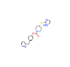 O=C(Oc1ccc(Cc2ccccn2)cc1)N1CCC(Sc2ncc[nH]2)CC1